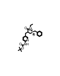 CCOC(=O)C(Cc1ccc(NC(=O)OC(C)(C)C)nc1)CP(=O)(O)Cc1ccccc1